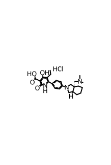 CCc1c(-c2ccc(N3C[C@H]4CCCC[C@]4(CN(C)C)C3)cc2)[nH]c(=O)c(C(=O)O)c1O.Cl